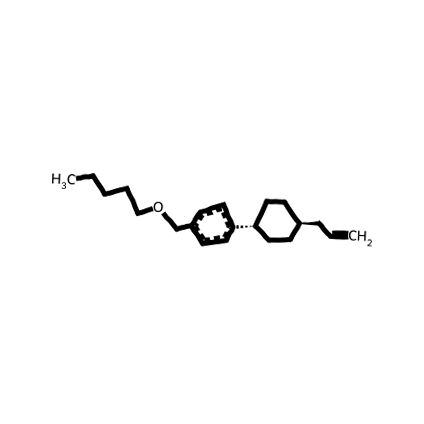 C=CC[C@H]1CC[C@H](c2ccc(COCCCCC)cc2)CC1